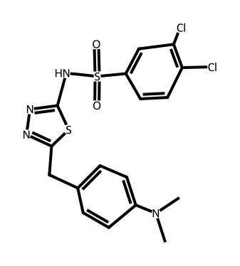 CN(C)c1ccc(Cc2nnc(NS(=O)(=O)c3ccc(Cl)c(Cl)c3)s2)cc1